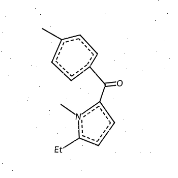 CCc1ccc(C(=O)c2ccc(C)cc2)n1C